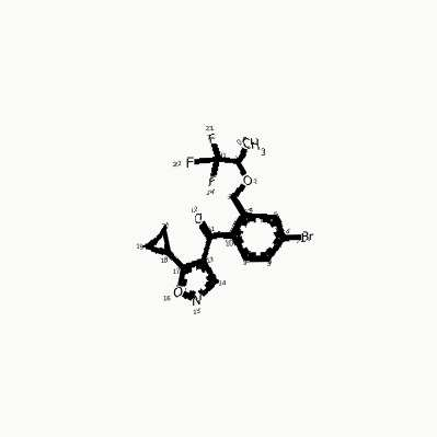 CC(OCc1cc(Br)ccc1C(=O)c1cnoc1C1CC1)C(F)(F)F